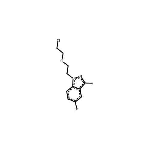 Fc1ccc2c(c1)c(I)nn2CCOCCCl